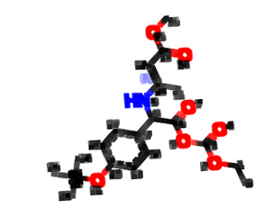 CCOC(=O)OC(=O)C(N/C(C)=C/C(=O)OC)c1ccc(O[Si](C)(C)C)cc1